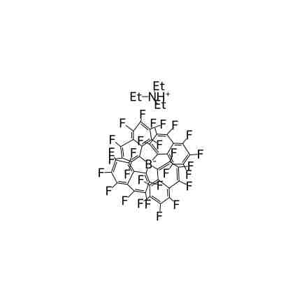 CC[NH+](CC)CC.Fc1c(F)c(F)c2c([B-](c3c(F)c(F)c(F)c4c(F)c(F)c(F)c(F)c34)(c3c(F)c(F)c(F)c4c(F)c(F)c(F)c(F)c34)c3c(F)c(F)c(F)c4c(F)c(F)c(F)c(F)c34)c(F)c(F)c(F)c2c1F